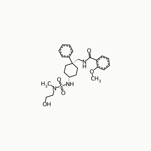 COc1ccccc1C(=O)NC[C@]1(c2ccccc2)CC[C@H](NS(=O)(=O)N(C)CCO)CC1